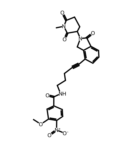 COc1cc(C(=O)NCCCC#Cc2cccc3c2CN(C2CCC(=O)N(C)C2=O)C3=O)ccc1[N+](=O)[O-]